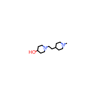 CN1CCC(CCN2CCC(O)CC2)CC1